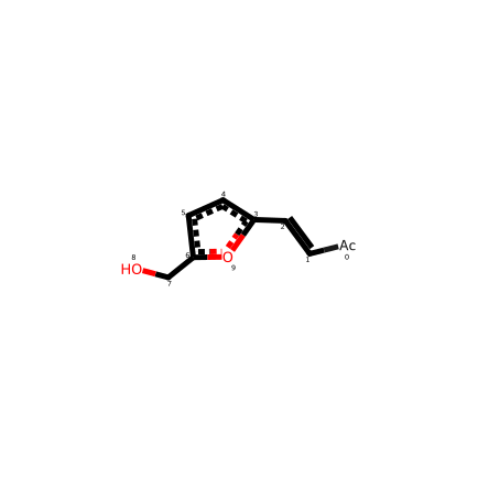 CC(=O)/C=C/c1ccc(CO)o1